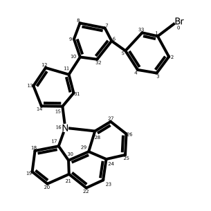 Brc1cccc(-c2cccc(-c3cccc(-n4c5cccc6ccc7cccc4c7c65)c3)c2)c1